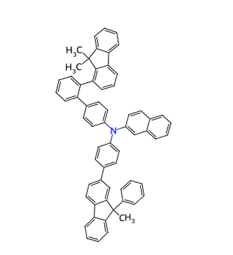 CC1(C)c2ccccc2-c2cccc(-c3ccccc3-c3ccc(N(c4ccc(-c5ccc6c(c5)C(C)(c5ccccc5)c5ccccc5-6)cc4)c4ccc5ccccc5c4)cc3)c21